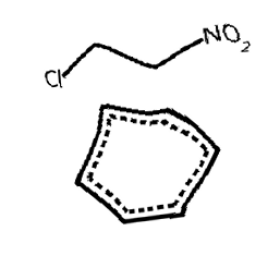 O=[N+]([O-])CCCl.c1ccccc1